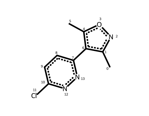 Cc1noc(C)c1-c1ccc(Cl)nn1